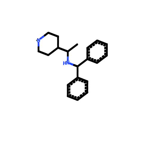 CC(NC(c1ccccc1)c1ccccc1)C1CC[N]CC1